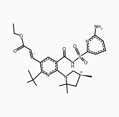 CCOC(=O)/C=C/c1cc(C(=O)NS(=O)(=O)c2cccc(N)n2)c(N2C[C@@H](C)CC2(C)C)nc1C(C)(C)C